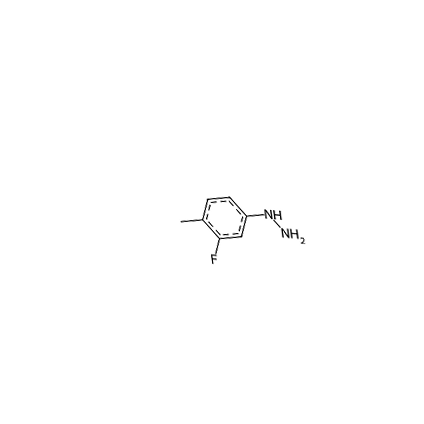 Cc1ccc(NN)cc1F